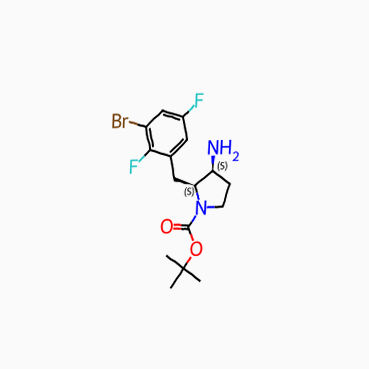 CC(C)(C)OC(=O)N1CC[C@H](N)[C@@H]1Cc1cc(F)cc(Br)c1F